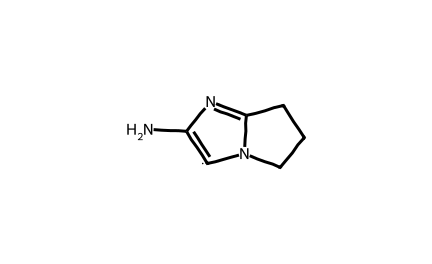 Nc1[c]n2c(n1)CCC2